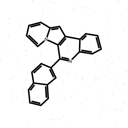 c1ccc2cc(-c3nc4ccccc4c4cc5ccccn5c34)ccc2c1